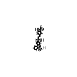 CNS(=O)(=O)c1ccccc1-c1ccc2[nH]c(C=Cc3ccc(NC(C)=O)cc3)nc2c1